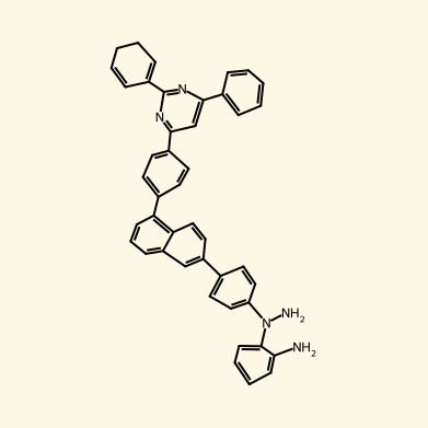 Nc1ccccc1N(N)c1ccc(-c2ccc3c(-c4ccc(-c5cc(-c6ccccc6)nc(C6=CCCC=C6)n5)cc4)cccc3c2)cc1